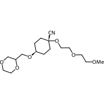 COCCOCCO[C@]1(C#N)CC[C@@H](OCC2COCCO2)CC1